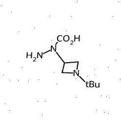 CC(C)(C)N1CC(N(N)C(=O)O)C1